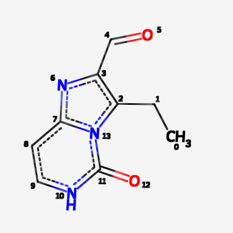 CCc1c(C=O)nc2cc[nH]c(=O)n12